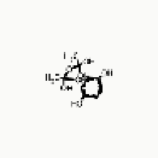 CC(O)(O)OC(C)(O)O.Oc1ccc(O)cc1